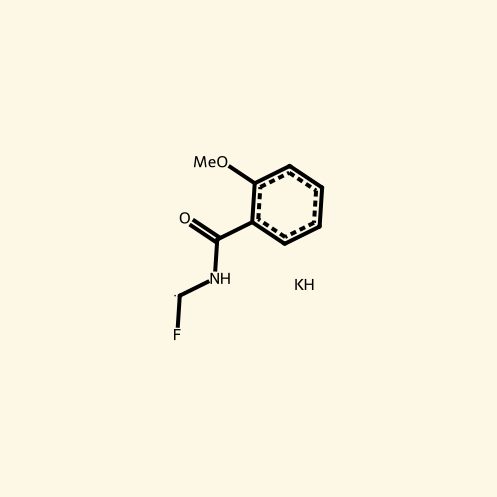 COc1ccccc1C(=O)N[CH]F.[KH]